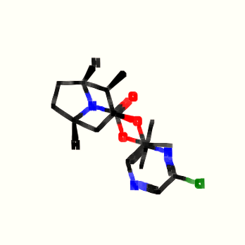 C[C@H]1[C@@H](Oc2cncc(Cl)n2)C[C@@H]2CC[C@H]1N2C(=O)OC(C)(C)C